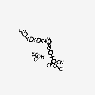 CC(C)(c1ccc(OCc2ccnc(N3CC4(CCN(C5CCN(CC6CCNCC6)CC5)CC4)C3)n2)cc1)c1cc(Cl)c(OCCCl)c(C#N)c1.O=C(O)C(F)(F)F